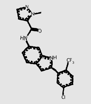 Cn1nccc1C(=O)Nc1ccc2cc(-c3cc(Cl)ccc3C(F)(F)F)[nH]c2c1